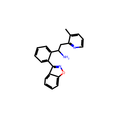 Cc1cccnc1CC(N)c1ccccc1-c1noc2ccccc12